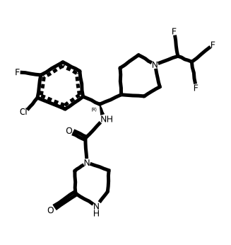 O=C1CN(C(=O)N[C@@H](c2ccc(F)c(Cl)c2)C2CCN(C(F)C(F)F)CC2)CCN1